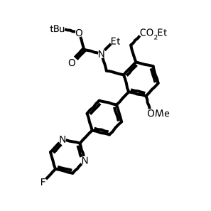 CCOC(=O)Cc1ccc(OC)c(-c2ccc(-c3ncc(F)cn3)cc2)c1CN(CC)C(=O)OC(C)(C)C